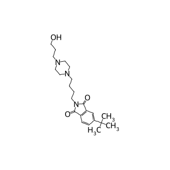 CC(C)(C)c1ccc2c(c1)C(=O)N(CCCCN1CCN(CCCO)CC1)C2=O